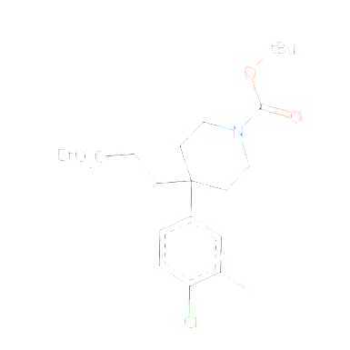 CCOC(=O)CCC1(c2ccc(Cl)c(C)c2)CCN(C(=O)OC(C)(C)C)CC1